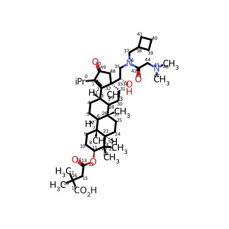 CC(C)C1=C2[C@H]3CC[C@@H]4[C@@]5(C)CC[C@H](OC(=O)CC(C)(C)C(=O)O)C(C)(C)[C@@H]5CC[C@@]4(C)[C@]3(C)CC[C@@]2([C@@H](O)CN(CC2CCC2)C(=O)CN(C)C)CC1=O